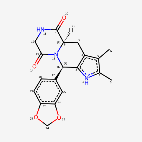 Cc1[nH]c2c(c1C)C[C@@H]1C(=O)NCC(=O)N1[C@@H]2c1ccc2c(c1)OCO2